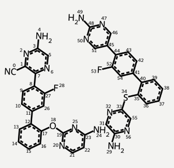 N#Cc1nc(N)cnc1-c1ccc(-c2ccccc2Oc2nccc(N)n2)cc1F.Nc1cnc(Sc2ccccc2-c2ccc(-c3cnc(N)nc3)c(F)c2)cn1